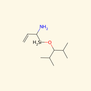 C=CC(N)[SiH2]OC(C(C)C)C(C)C